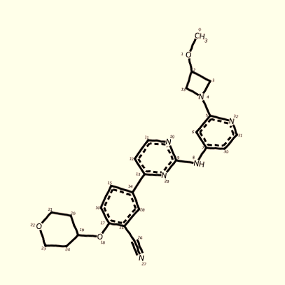 COC1CN(c2cc(Nc3nccc(-c4ccc(OC5CCOCC5)c(C#N)c4)n3)ccn2)C1